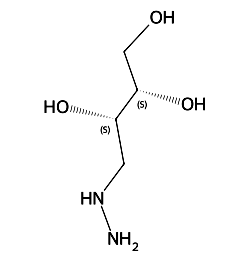 NNC[C@H](O)[C@@H](O)CO